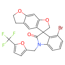 O=C1N(Cc2ccc(C(F)(F)F)o2)c2cccc(Br)c2C12COc1cc3c(cc12)CCO3